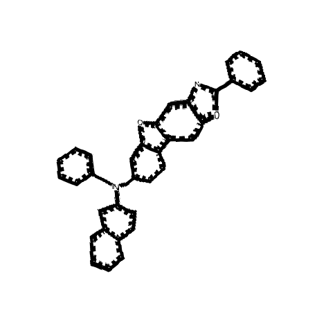 c1ccc(-c2nc3cc4oc5cc(N(c6ccccc6)c6ccc7ccccc7c6)ccc5c4cc3o2)cc1